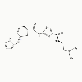 CC(C)N(CCNC(=O)c1csc(NC(=O)C2=CC=C/C(=N\c3ccc[nH]3)C2)n1)C(C)C